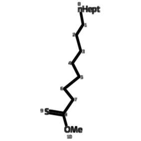 CCCCCCCCCCCCCCC(=S)OC